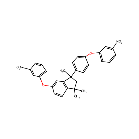 CC1(C)CC(C)(c2ccc(Oc3cccc([N+](=O)[O-])c3)cc2)c2cc(Oc3cccc([N+](=O)[O-])c3)ccc21